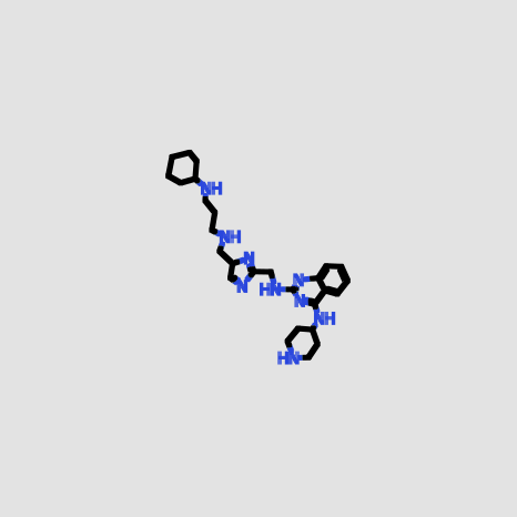 C1=NC(CNc2nc(NC3CCNCC3)c3ccccc3n2)=NC1CNCCCNC1CCCCC1